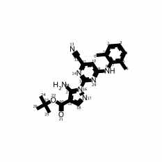 Cc1cccc(C)c1Nc1cc(C#N)nc(-n2ncc(C(=O)OC(C)(C)C)c2N)n1